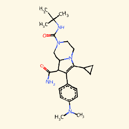 CN(C)c1ccc(C2=C(C3CC3)N3CCN(C(=O)NC(C)(C)C)CC3C2C(N)=O)cc1